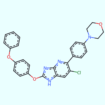 Clc1cc2[nH]c(Oc3ccc(Oc4ccccc4)cc3)nc2nc1-c1ccc(N2CCOCC2)cc1